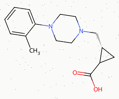 Cc1ccccc1N1CCN(C[C@@H]2CC2C(=O)O)CC1